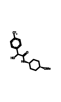 CO[C@H]1CC[C@@H](NC(=O)C(O)c2ccc(C(F)(F)F)cc2)CC1